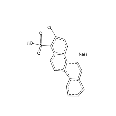 O=S(=O)(O)c1c(Cl)ccc2c1ccc1c3ccccc3ccc21.[NaH]